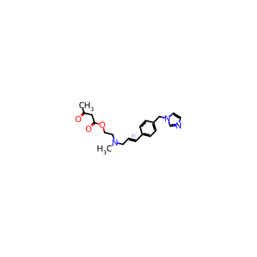 CC(=O)CC(=O)OCCN(C)C/C=C/c1ccc(Cn2ccnc2)cc1